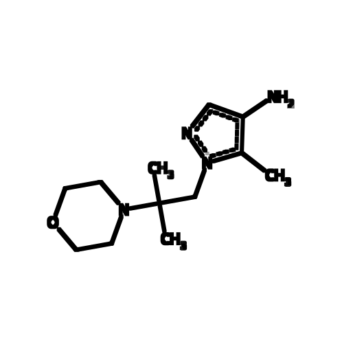 Cc1c(N)cnn1CC(C)(C)N1CCOCC1